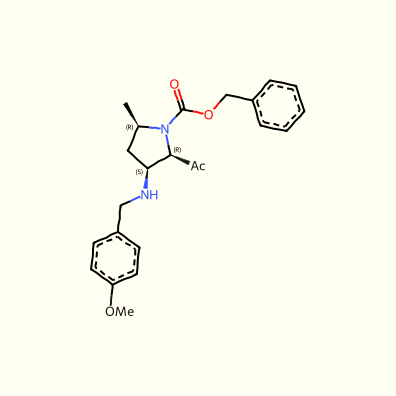 COc1ccc(CN[C@H]2C[C@@H](C)N(C(=O)OCc3ccccc3)[C@H]2C(C)=O)cc1